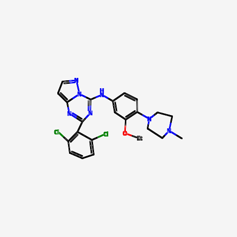 CCOc1cc(Nc2nc(-c3c(Cl)cccc3Cl)nc3ccnn23)ccc1N1CCN(C)CC1